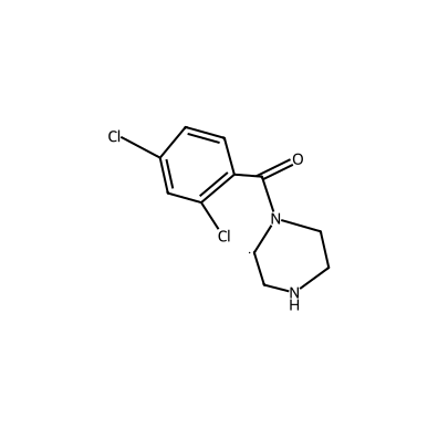 O=C(c1ccc(Cl)cc1Cl)N1[CH]CNCC1